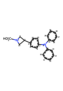 O=C(O)N1CC(c2ccc(N(c3ccccc3)c3ccccc3)cc2)C1